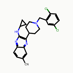 N#Cc1ccc2nc(NC3CC3)c(C3CCN(Cc4cc(Cl)ccc4Cl)CC3)nc2c1